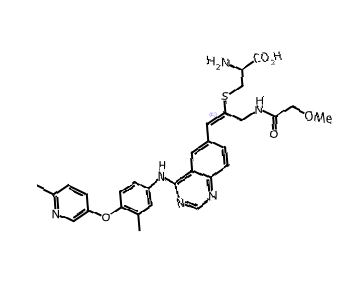 COCC(=O)NC/C(=C\c1ccc2ncnc(Nc3ccc(Oc4ccc(C)nc4)c(C)c3)c2c1)SCC(N)C(=O)O